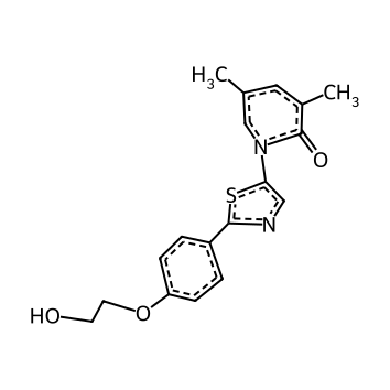 Cc1cc(C)c(=O)n(-c2cnc(-c3ccc(OCCO)cc3)s2)c1